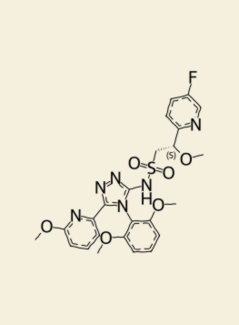 COc1cccc(-c2nnc(NS(=O)(=O)C[C@@H](OC)c3ccc(F)cn3)n2-c2c(OC)cccc2OC)n1